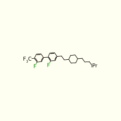 CC(C)CCCC1CCC(CCc2ccc(-c3ccc(C(F)(F)F)c(F)c3)c(F)c2)CC1